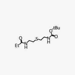 CCC(=O)NCCSCCNC(=O)OC(C)(C)C